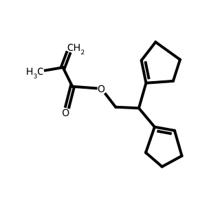 C=C(C)C(=O)OCC(C1=CCCC1)C1=CCCC1